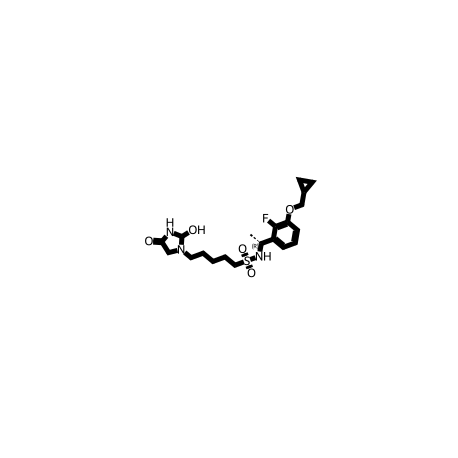 C[C@@H](NS(=O)(=O)CCCCCN1CC(=O)NC1O)c1cccc(OCC2CC2)c1F